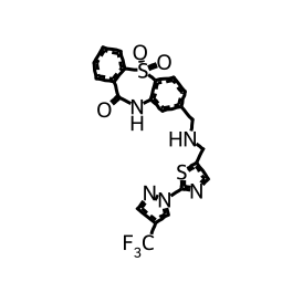 O=C1Nc2cc(CNCc3cnc(-n4cc(C(F)(F)F)cn4)s3)ccc2S(=O)(=O)c2ccccc21